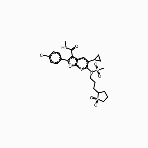 CNC(=O)c1c(-c2ccc(Cl)cc2)oc2nc(N(CCCC3CCCS3(=O)=O)S(C)(=O)=O)c(C3CC3)cc12